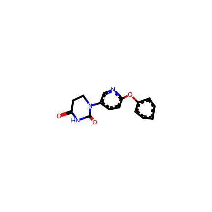 O=C1CCN(c2ccc(Oc3ccccc3)nc2)C(=O)N1